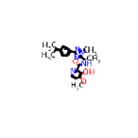 COc1ccnc(C(=O)N[C@@H](C)c2nc(-c3ccc(C(C)C)cc3)nn2C)c1O